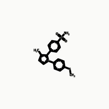 CSc1ccc(-n2ccc(C)c2-c2ccc(S(N)(=O)=O)cc2)cc1